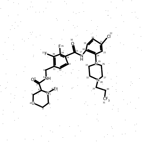 CCN1CCOCC1C(=O)NCc1ccc(C(=O)Nc2ccc(Cl)cc2N2CCN(CCC(F)(F)F)CC2)c(F)c1F